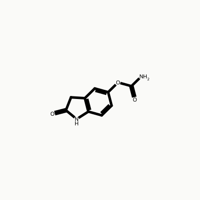 NC(=O)Oc1ccc2c(c1)CC(=O)N2